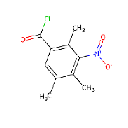 Cc1cc(C(=O)Cl)c(C)c([N+](=O)[O-])c1C